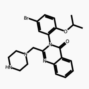 CC(C)Oc1ccc(Br)cc1-n1c(CN2CCNCC2)nc2ccccc2c1=O